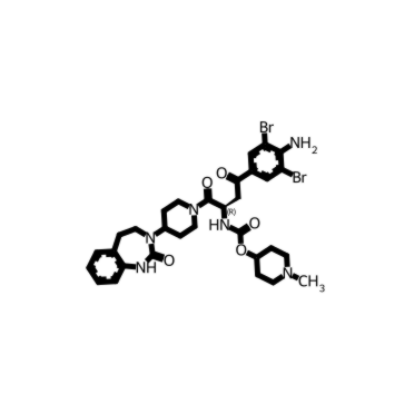 CN1CCC(OC(=O)N[C@H](CC(=O)c2cc(Br)c(N)c(Br)c2)C(=O)N2CCC(N3CCc4ccccc4NC3=O)CC2)CC1